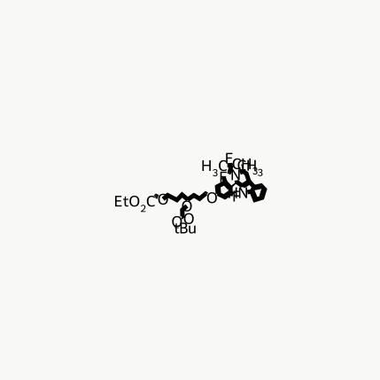 CCOC(=O)COCCCC(CCCOc1cc(F)c([C@@H]2c3[nH]c4ccccc4c3C[C@@H](C)N2CC(C)(C)F)c(F)c1)OCC(=O)OC(C)(C)C